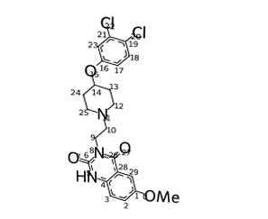 COc1ccc2[nH]c(=O)n(CCN3CCC(Oc4ccc(Cl)c(Cl)c4)CC3)c(=O)c2c1